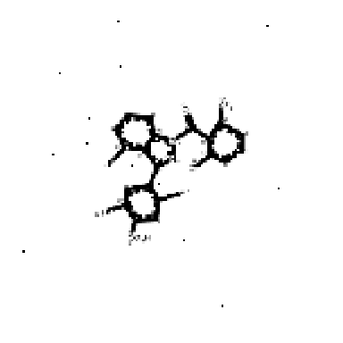 O=C(O)c1cc(F)c(-c2nn(C(=O)c3c(Cl)cccc3C(F)(F)F)c3cccc(F)c23)cc1F